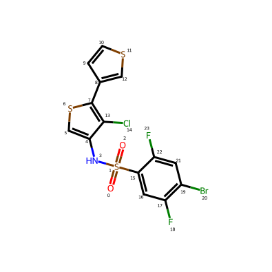 O=S(=O)(Nc1csc(-c2ccsc2)c1Cl)c1cc(F)c(Br)cc1F